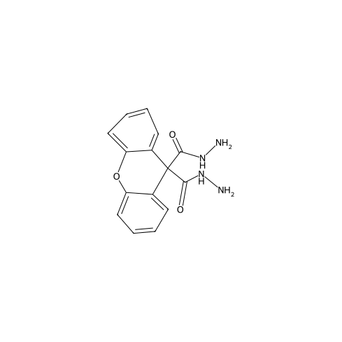 NNC(=O)C1(C(=O)NN)c2ccccc2Oc2ccccc21